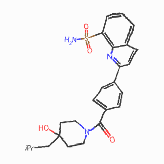 CC(C)CC1(O)CCN(C(=O)c2ccc(-c3ccc4cccc(S(N)(=O)=O)c4n3)cc2)CC1